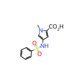 Cn1cc(NS(=O)(=O)c2ccccc2)cc1C(=O)O